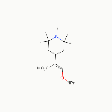 CC(C)OC=C(C(=O)O)C1CC(C)(C)N(C)C(C)(C)C1